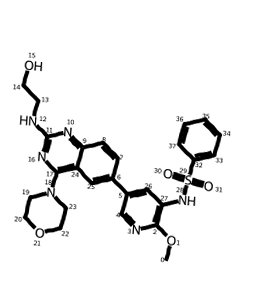 COc1ncc(-c2ccc3nc(NCCO)nc(N4CCOCC4)c3c2)cc1NS(=O)(=O)c1ccccc1